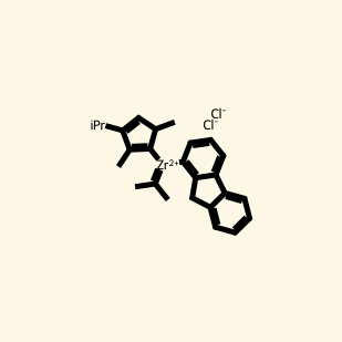 CC1=[C]([Zr+2](=[C](C)C)[c]2cccc3c2Cc2ccccc2-3)C(C)C=C1C(C)C.[Cl-].[Cl-]